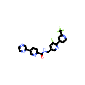 O=C(NCc1cnc(-c2ccnc(C(F)(F)F)c2)c(F)c1)c1ccc(-c2cnccn2)cn1